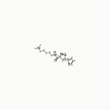 CN(C)CCCCCNC(=O)c1cc(-c2cccs2)on1